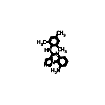 Cc1cc(C)c(Nc2nc3cccc(N)c3n3cncc23)c(C)c1